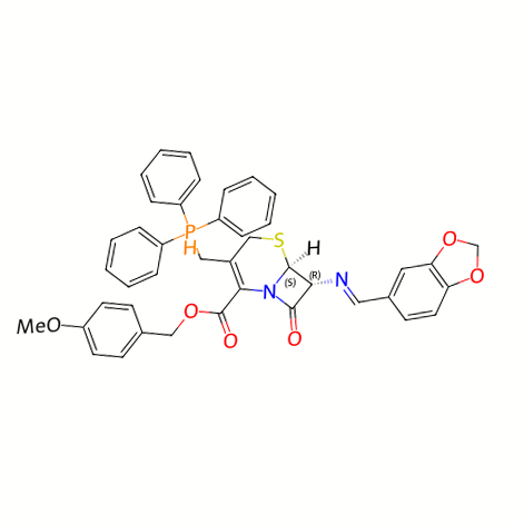 COc1ccc(COC(=O)C2=C(C[PH](c3ccccc3)(c3ccccc3)c3ccccc3)CS[C@H]3[C@H](N=Cc4ccc5c(c4)OCO5)C(=O)N23)cc1